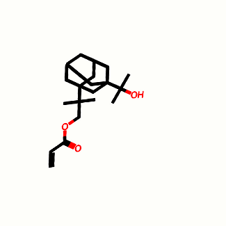 C=CC(=O)OCC(C)(C)C12CC3CC(CC(C(C)(C)O)(C3)C1)C2